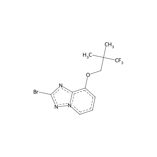 CC(C)(COc1cccn2nc(Br)nc12)C(F)(F)F